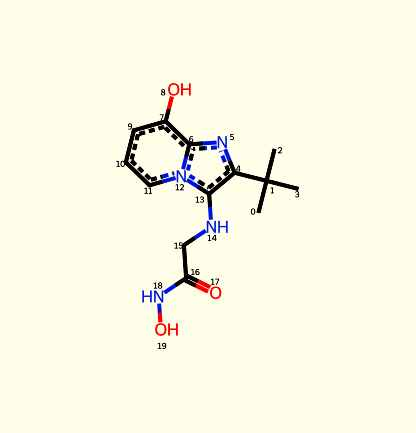 CC(C)(C)c1nc2c(O)cccn2c1NCC(=O)NO